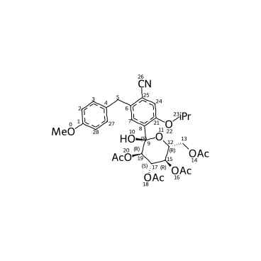 COc1ccc(Cc2cc([C@]3(O)O[C@H](COC(C)=O)[C@@H](OC(C)=O)[C@H](OC(C)=O)[C@H]3OC(C)=O)c(OC(C)C)cc2C#N)cc1